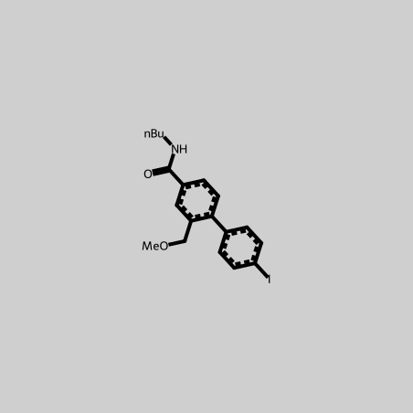 CCCCNC(=O)c1ccc(-c2ccc(I)cc2)c(COC)c1